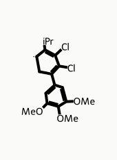 COc1cc(C2=C(Cl)C(Cl)=C(C(C)C)[CH]C2)cc(OC)c1OC